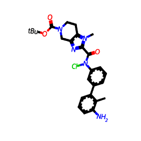 Cc1c(N)cccc1-c1cccc(N(Cl)C(=O)c2nc3c(n2C)CCN(C(=O)OC(C)(C)C)C3)c1